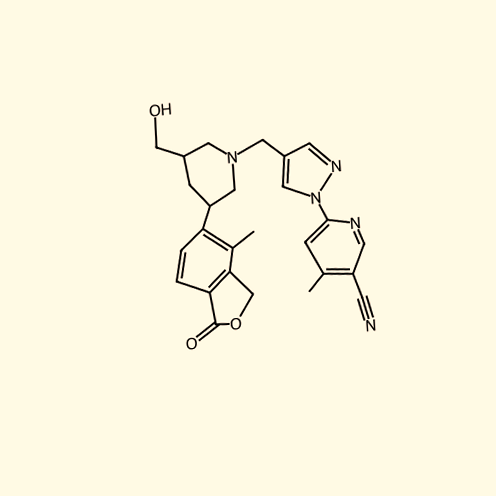 Cc1cc(-n2cc(CN3CC(CO)CC(c4ccc5c(c4C)COC5=O)C3)cn2)ncc1C#N